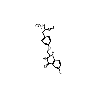 CCOC(Cc1ccc(OCC2NC(=O)c3cc(Cl)ccc3N2)cc1)C(=O)O